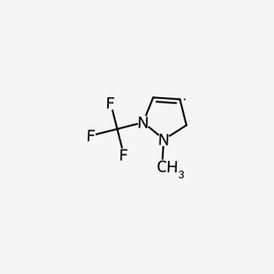 CN1C[C]=CN1C(F)(F)F